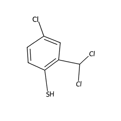 Sc1ccc(Cl)cc1C(Cl)Cl